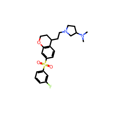 CN(C)C1CCN(CCC2CCOc3cc(S(=O)(=O)c4cccc(F)c4)ccc32)C1